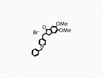 COc1cc2c(cc1OC)C(=O)C(Cc1cc[n+](Cc3ccccc3)cc1)C2.[Br-]